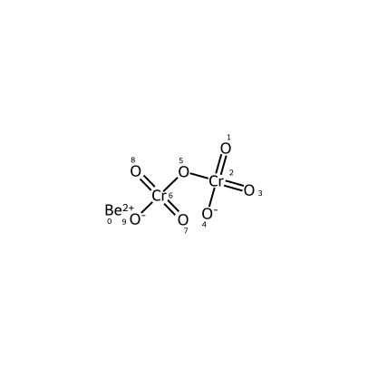 [Be+2].[O]=[Cr](=[O])([O-])[O][Cr](=[O])(=[O])[O-]